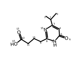 CC(C)c1cc(=O)[nH]c(CCCC(=O)O)n1